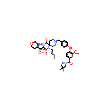 CCCCN1C(=O)[C@@H]([C@H](O)C2CCOCC2)NC(=O)C12CCN(Cc1ccc(Oc3ccc(C(=O)NCC(C)(C)C)cc3OC)cc1)CC2